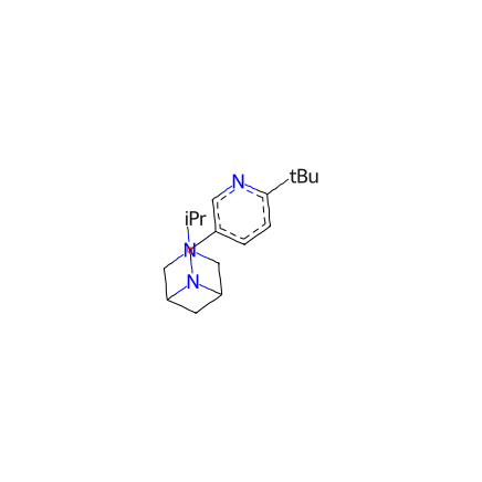 CC(C)N1CC2CC(C1)N2Cc1ccc(C(C)(C)C)nc1